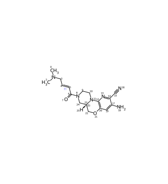 CN(C)C/C=C/C(=O)N1CCN2c3nc(C#N)c(N)cc3OC[C@@H]2C1